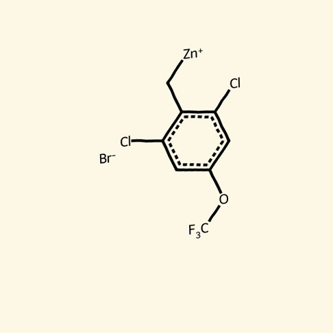 FC(F)(F)Oc1cc(Cl)c([CH2][Zn+])c(Cl)c1.[Br-]